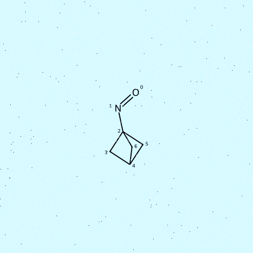 O=NC12CC(C1)C2